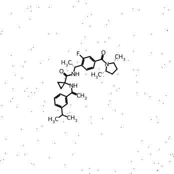 C=C(NC1(C(=O)N[C@H](C)c2ccc(C(=O)N3[C@H](C)CC[C@@H]3C)cc2F)CC1)c1cccc(C(C)C)c1